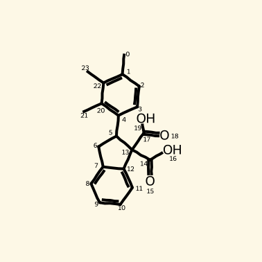 Cc1ccc(C2Cc3ccccc3C2(C(=O)O)C(=O)O)c(C)c1C